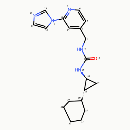 O=C(NCc1ccnc(-n2ccnc2)c1)N[C@H]1C[C@@H]1C1CCCCC1